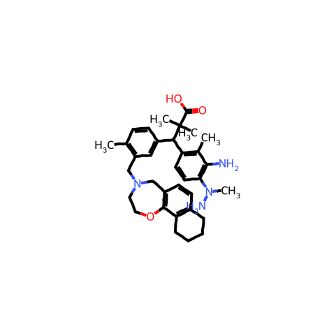 Cc1ccc(C(c2ccc(N(C)N)c(N)c2C)C(C)(C)C(=O)O)cc1CN1CCOc2c(ccc3c2CCCC3)C1